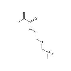 C=C(C)C(=O)OCCOC[SiH2]C